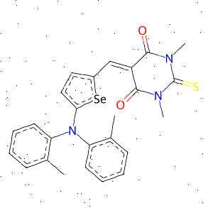 Cc1ccccc1N(c1ccc(C=C2C(=O)N(C)C(=S)N(C)C2=O)[se]1)c1ccccc1C